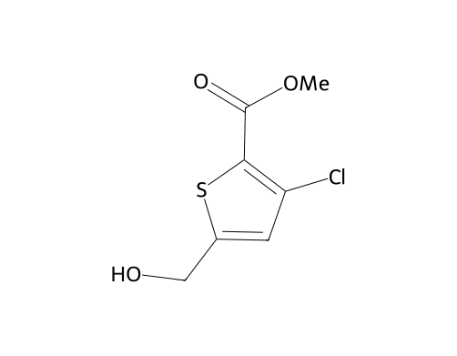 COC(=O)c1sc(CO)cc1Cl